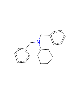 c1ccc(CN(Cc2ccccc2)[C]2CCCCC2)cc1